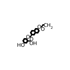 C=CC(=O)Oc1ccc2cc(C(=O)Oc3ccc(O)cc3CO)ccc2c1